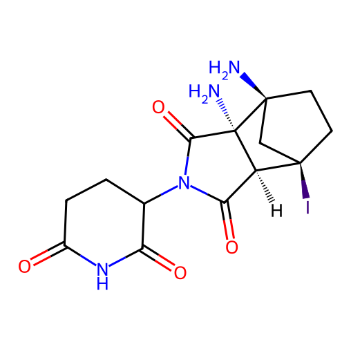 N[C@@]12CC[C@@](I)(C1)[C@H]1C(=O)N(C3CCC(=O)NC3=O)C(=O)[C@]12N